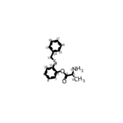 C[C@H](N)C(=O)Oc1ccccc1SCc1ccccc1